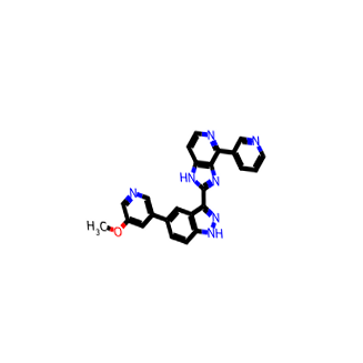 COc1cncc(-c2ccc3[nH]nc(-c4nc5c(-c6cccnc6)nccc5[nH]4)c3c2)c1